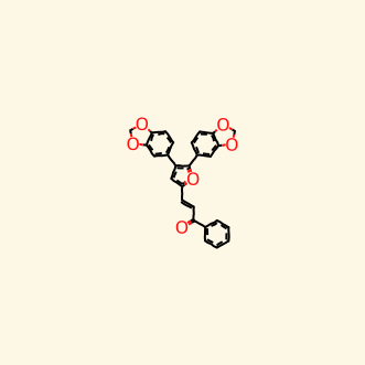 O=C(/C=C/c1cc(-c2ccc3c(c2)OCO3)c(-c2ccc3c(c2)OCO3)o1)c1ccccc1